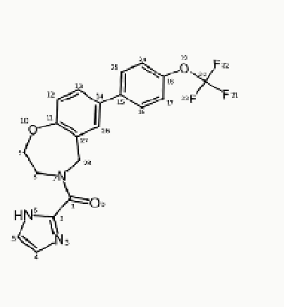 O=C(c1ncc[nH]1)N1CCOc2ccc(-c3ccc(OC(F)(F)F)cc3)cc2C1